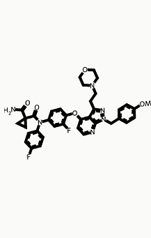 COc1ccc(Cn2nc(CCN3CCOCC3)c3c(Oc4ccc(N(C(=O)C5(C(N)=O)CC5)c5ccc(F)cc5)cc4F)ccnc32)cc1